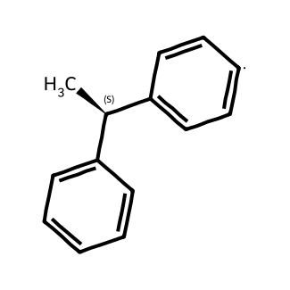 C[C@@H](c1cc[c]cc1)c1ccccc1